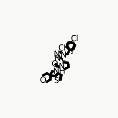 Cc1nnc([C@H]2CCCN2C(=O)NCC2(c3cccs3)CCOCC2)n1Cc1ccc(Cl)cc1